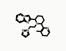 CC1=C(C2CCCC(c3cn4ccccc4n3)N2CCn2cccn2)N=CCC1